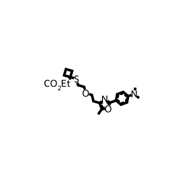 CCOC(=O)C1(SCCOCCc2nc(-c3ccc(N(C)C)cc3)oc2C)CCC1